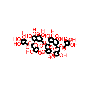 O=C(O[C@@H]1Cc2c(O)cc(O)cc2O[C@@H]1c1cc(O)c(=O)c2c(O)c(O)cc([C@H]3Oc4cc(O)cc(O)c4C[C@H]3OC(=O)c3cc(O)c(=O)c4c(O)c(O)cc([C@H]5Oc6cc(O)cc(O)c6C[C@H]5OC(=O)c5cc(O)c(O)c(O)c5)c4c3)c2c1)c1cc(O)c(O)c(O)c1